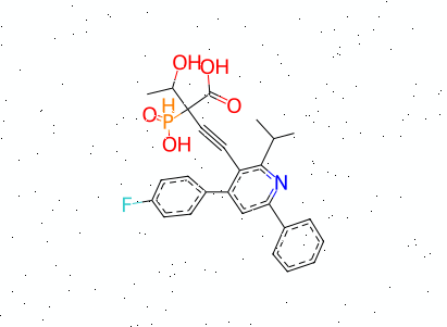 CC(C)c1nc(-c2ccccc2)cc(-c2ccc(F)cc2)c1C#CC(C(=O)O)(C(C)O)[PH](=O)O